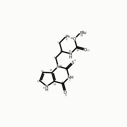 CC(C)CC(Cn1c(=S)[nH]c(=O)c2[nH]ccc21)NC(=O)OC(C)(C)C